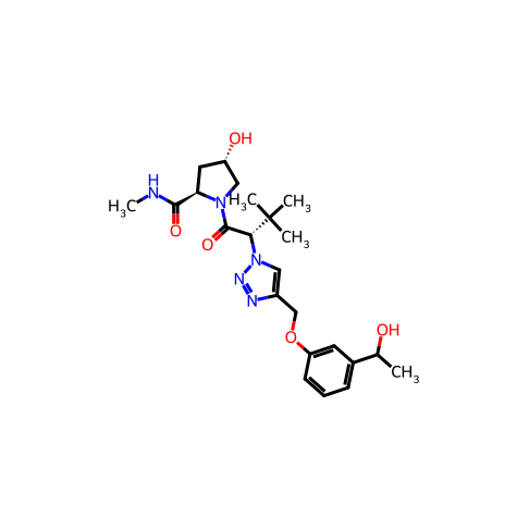 CNC(=O)[C@H]1C[C@H](O)CN1C(=O)[C@@H](n1cc(COc2cccc(C(C)O)c2)nn1)C(C)(C)C